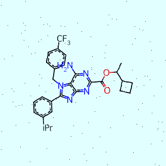 CC(C)c1cccc(-c2nc3nc(C(=O)OC(C)C4CCC4)nc(N)c3n2Cc2ccc(C(F)(F)F)cc2)c1